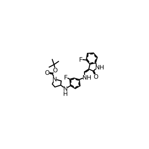 CC(C)(C)OC(=O)N1CCC(Nc2ccc(NC=C3C(=O)Nc4cccc(F)c43)cc2F)C1